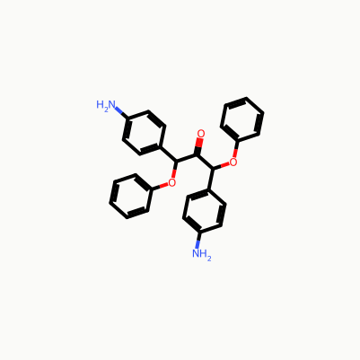 Nc1ccc(C(Oc2ccccc2)C(=O)C(Oc2ccccc2)c2ccc(N)cc2)cc1